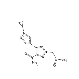 NC(=O)c1nn(CC(=O)O)cc1-c1cnn(C2CC2)c1